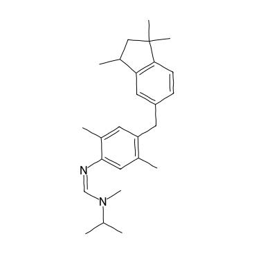 Cc1cc(/N=C\N(C)C(C)C)c(C)cc1Cc1ccc2c(c1)C(C)CC2(C)C